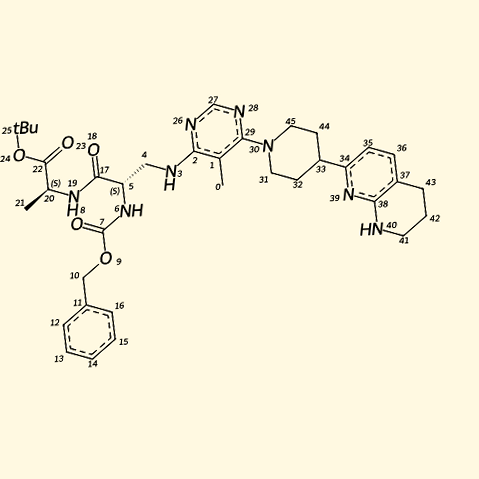 Cc1c(NC[C@H](NC(=O)OCc2ccccc2)C(=O)N[C@@H](C)C(=O)OC(C)(C)C)ncnc1N1CCC(c2ccc3c(n2)NCCC3)CC1